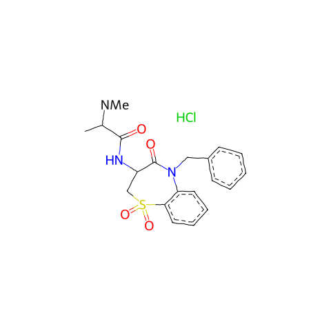 CNC(C)C(=O)NC1CS(=O)(=O)c2ccccc2N(Cc2ccccc2)C1=O.Cl